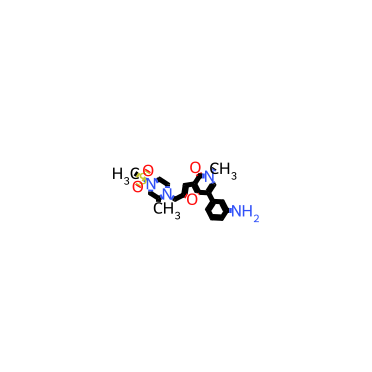 CC1CN(S(C)(=O)=O)CCN1Cc1cc2c(=O)n(C)cc(-c3cccc(N)c3)c2o1